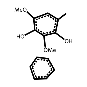 COc1cc(C)c(O)c(OC)c1O.c1ccccc1